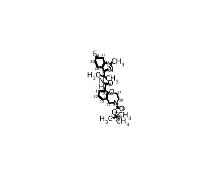 Cn1nc(C(C)(C)NC(=O)c2cccc3c2OCCN(C(=O)OC(C)(C)C)C3)c2ccc(F)cc21